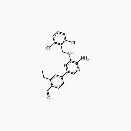 CCc1cc(-c2cnc(N)c(NCc3c(Cl)cccc3Cl)n2)ccc1C=O